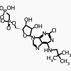 CC(C)(C)CNc1nc(Cl)nc2c1ncn2[C@@H]1O[C@H](COP(=O)(O)CP(=O)(O)O)[C@@H](O)[C@H]1O